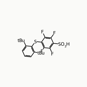 CC(C)(C)c1cccc(C(C)(C)C)c1Sc1c(F)c(F)c(S(=O)(=O)O)c(F)c1F